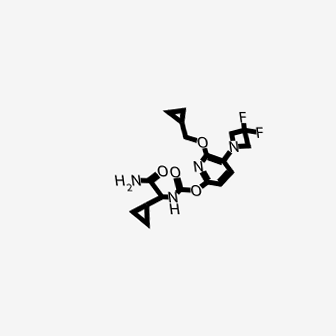 NC(=O)C(NC(=O)Oc1ccc(N2CC(F)(F)C2)c(OCC2CC2)n1)C1CC1